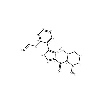 CC1CCCC(C)N1C(=O)c1csc(-c2ccccc2CC=O)n1